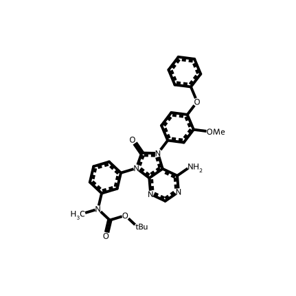 COc1cc(-n2c(=O)n(-c3cccc(N(C)C(=O)OC(C)(C)C)c3)c3ncnc(N)c32)ccc1Oc1ccccc1